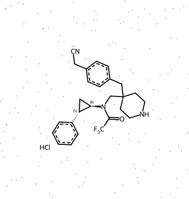 Cl.N#CCc1ccc(CC2(CN(C(=O)C(F)(F)F)[C@@H]3C[C@H]3c3ccccc3)CCNCC2)cc1